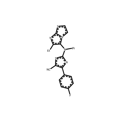 CCc1nc2sccn2c1N(c1nc(-c2ccc(F)cc2)c(C#N)s1)C(C)C